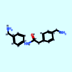 NCc1ccc(CC(=O)Nc2ccc(CN)cc2)cc1